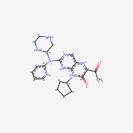 CC(=O)c1nc2cnc(N(c3ccccn3)C3CNCCN3)nc2n(C2CCCC2)c1=O